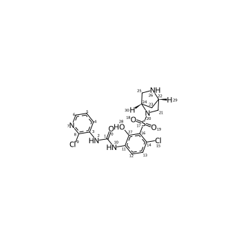 O=C(Nc1cccnc1Cl)Nc1ccc(Cl)c(S(=O)(=O)N2C[C@@H]3C[C@H]2CN3)c1O